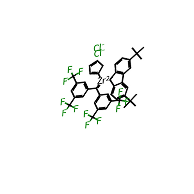 CC(C)(C)c1ccc2c(c1)-c1cc(C(C)(C)C)ccc1[CH]2[Zr+2]([C]1=CC=CC1)=[C](c1cc(C(F)(F)F)cc(C(F)(F)F)c1)c1cc(C(F)(F)F)cc(C(F)(F)F)c1.[Cl-].[Cl-]